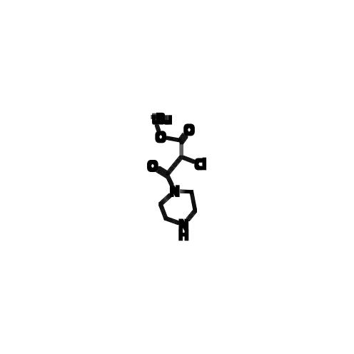 CC(C)(C)OC(=O)C(Cl)C(=O)N1CCNCC1